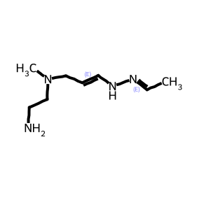 C/C=N/N/C=C/CN(C)CCN